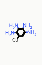 Nc1c[c]([Cu])c(N)c(N)c1N